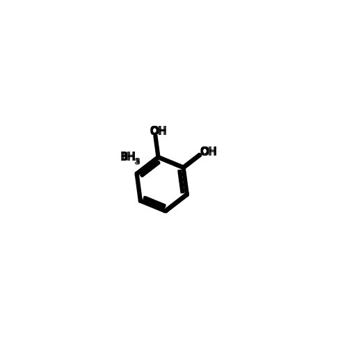 B.Oc1ccccc1O